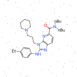 CCCCN(CCCC)C(=O)c1ccc2nc(Nc3ccc(CC)cc3)n(CCCN3CCCCC3)c2n1